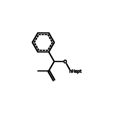 C=C(C)C(OCCCCCCC)c1ccccc1